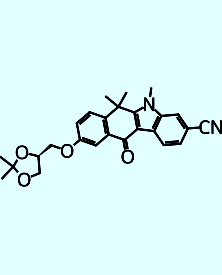 Cn1c2c(c3ccc(C#N)cc31)C(=O)c1cc(OC[C@H]3COC(C)(C)O3)ccc1C2(C)C